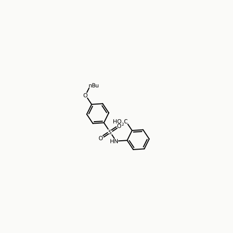 CCCCOc1ccc(S(=O)(=O)Nc2ccccc2C(=O)O)cc1